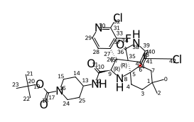 CC1(C)CCC2(CC1)N[C@@H](C(=O)NC1CCN(C(=O)OC(C)(C)C)CC1)[C@H](c1ccnc(Cl)c1F)[C@]21C(=O)Nc2cc(Cl)ccc21